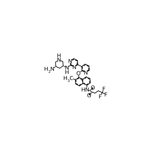 Cc1ccc2c(NS(=O)(=O)CCC(F)(F)F)cccc2c1Oc1ncccc1-c1ccnc(N[C@@H]2CNC[C@H](N)C2)n1